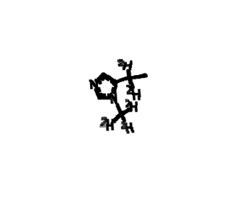 [2H]C([2H])(C)c1cncn1C([2H])([2H])[2H]